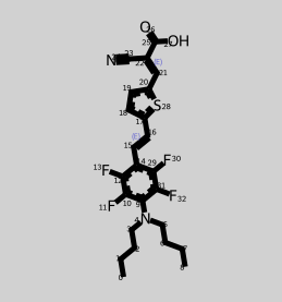 CCCCN(CCCC)c1c(F)c(F)c(/C=C/c2ccc(/C=C(\C#N)C(=O)O)s2)c(F)c1F